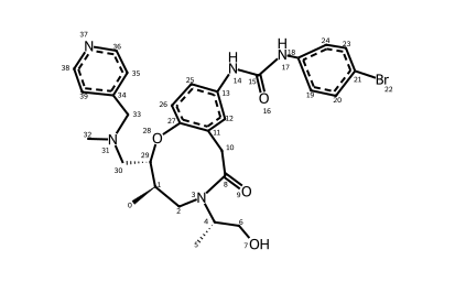 C[C@@H]1CN([C@@H](C)CO)C(=O)Cc2cc(NC(=O)Nc3ccc(Br)cc3)ccc2O[C@H]1CN(C)Cc1ccncc1